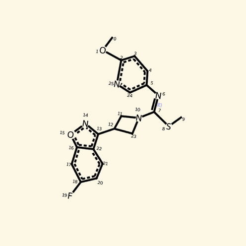 COc1ccc(/N=C(/SC)N2CC(c3noc4cc(F)ccc34)C2)cn1